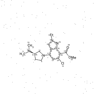 CCn1cc2c(N3CC[C@@H](N(C)C)C3)cc(Cl)c(C(=O)OC)c2n1